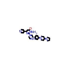 Nn1c(N2CCN[C@@H](c3ccc(N4CCC(N5CCCC5)CC4)cc3)C2)nc(-c2ccncc2)cc1=O